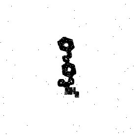 NC(=O)Oc1ccc(OCc2ccccc2)cc1